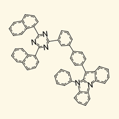 c1ccc(-n2c3ccccc3n3c4ccccc4c(-c4ccc(-c5cccc(-c6nc(-c7cccc8ccccc78)nc(-c7cccc8ccccc78)n6)c5)cc4)c23)cc1